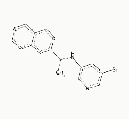 CC(Nc1cncc(Br)c1)c1ccc2ccccc2c1